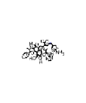 CC(NC(CC1C2(CO2)C(NC(C)C(=O)N2CCOCC2)CC2[C@]1(C)CC[C@@H](O)[C@@]2(C)CO)C1=C/C(=C\c2cnc(N)nc2)OC1=O)C(=O)NC1=NCC=N1